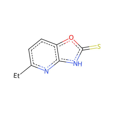 CCc1ccc2oc(=S)[nH]c2n1